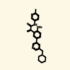 C=C(C(=O)Nc1ccc(C)nc1)c1cc(-c2cncc(CN3CCCCC3)c2)ccc1NC